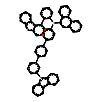 c1cc(-c2ccc(-c3ccc(N(c4ccccc4-c4cccc5oc6ccccc6c45)c4cc5ccccc5c5ccccc45)cc3)cc2)cc(-n2c3ccccc3c3ccccc32)c1